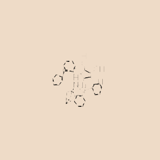 CC1=C(C)C(C)[C]([Ti]([NH]C23CC4C(C2)C4C3)[SiH](c2ccccc2)c2ccccc2)=C1C.c1ccc(-c2ccccc2)cc1